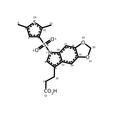 Cc1cc(S(=O)(=O)n2cc(CCC(=O)O)c3cc4c(cc32)OCO4)c(C)s1